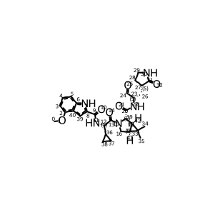 COc1cccc2[nH]c(C(=O)N[C@H](C(=O)N3C[C@H]4[C@@H]([C@H]3C(=O)N[C@H](C=O)C[C@@H]3CCNC3=O)C4(C)C)C3CC3)cc12